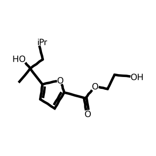 CC(C)CC(C)(O)c1ccc(C(=O)OCCO)o1